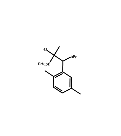 CCCCCCCC(C)([O])C(CCC)c1cc(C)ccc1C